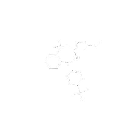 CCCC[C@@]1(CC)CS(=O)(=O)c2ccccc2[C@@H](c2ccc(C(F)(F)F)cc2)N1